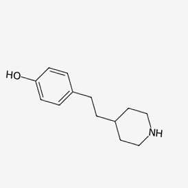 Oc1ccc(CCC2CCNCC2)cc1